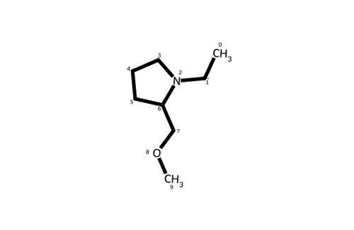 C[CH]N1CCCC1COC